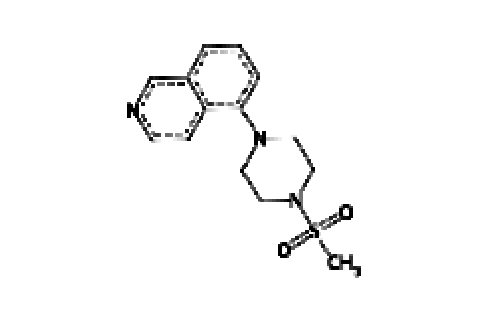 CS(=O)(=O)N1CCN(c2cccc3cnccc23)CC1